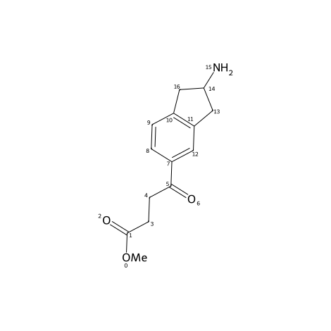 COC(=O)CCC(=O)c1ccc2c(c1)CC(N)C2